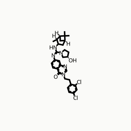 C[C@H]1C(NC(=Nc2ccc3c(=O)n(CCc4ccc(Cl)cc4Cl)cnc3c2)N2CC[C@H](O)C2)C[C@H]2C[C@H]1C2(C)C